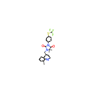 Cc1cccc2c(CN3C(=O)N(c4ccc(SC(F)(F)F)cc4)C(=O)C3(C)C)ccnc12